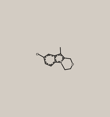 Cc1c2n(c3ccc(Cl)cc13)CCOC2